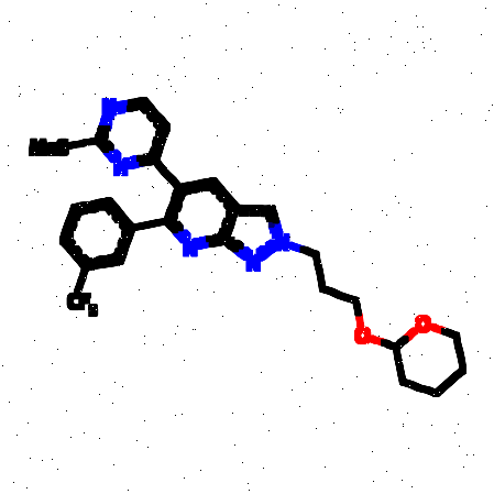 CSc1nccc(-c2cc3cn(CCCOC4CCCCO4)nc3nc2-c2cccc(C(F)(F)F)c2)n1